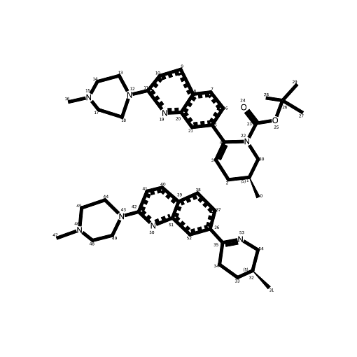 C[C@H]1CC=C(c2ccc3ccc(N4CCN(C)CC4)nc3c2)N(C(=O)OC(C)(C)C)C1.C[C@H]1CCC(c2ccc3ccc(N4CCN(C)CC4)nc3c2)=NC1